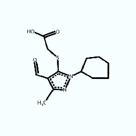 Cc1nn(C2CCCCC2)c(SCC(=O)O)c1C=O